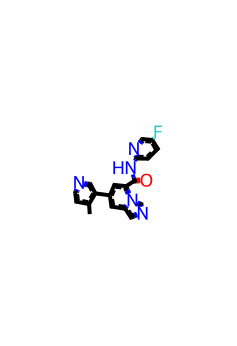 Cc1ccncc1-c1cc(C(=O)Nc2ccc(F)cn2)n2cncc2c1